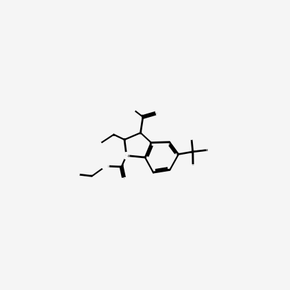 CCOC(=O)N1c2ccc(C(F)(F)F)cc2C(C(=O)O)C1CC